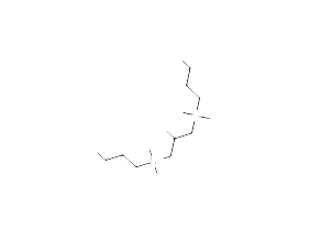 C[N+](C)(CCCO)CC(O)C[N+](C)(C)CCCO